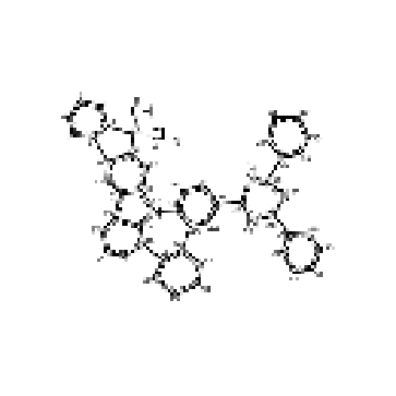 CC1(C)c2ccccc2-c2cc3c4cccc5c4n(c3cc21)-c1ccc(-c2nc(-c3ccccc3)nc(-c3ccccc3)n2)cc1-c1ccccc1-5